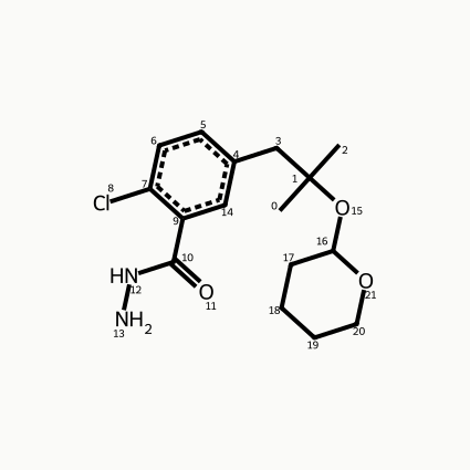 CC(C)(Cc1ccc(Cl)c(C(=O)NN)c1)OC1CCCCO1